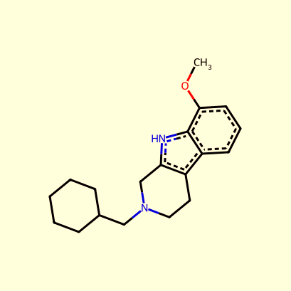 COc1cccc2c3c([nH]c12)CN(CC1CCCCC1)CC3